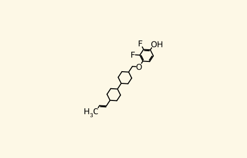 C/C=C/C1CCC(C2CCC(COc3ccc(O)c(F)c3F)CC2)CC1